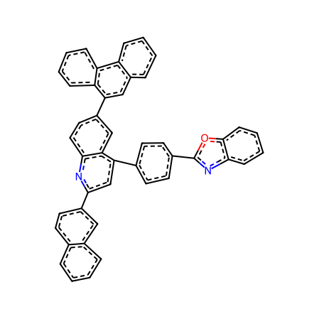 c1ccc2cc(-c3cc(-c4ccc(-c5nc6ccccc6o5)cc4)c4cc(-c5cc6ccccc6c6ccccc56)ccc4n3)ccc2c1